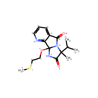 CSCCOC12NC(=O)C(C)(C(C)C)N1C(=O)c1cccnc12